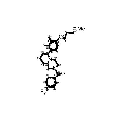 COCCCOc1ccc(C2CCCC3CN(C(=O)c4ccc(C(F)(F)F)cc4)CCN32)c(C)c1C